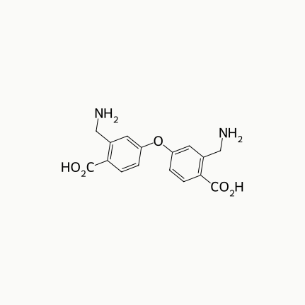 NCc1cc(Oc2ccc(C(=O)O)c(CN)c2)ccc1C(=O)O